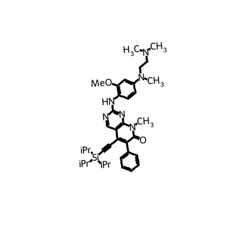 COc1cc(N(C)CCN(C)C)ccc1Nc1ncc2c(C#C[Si](C(C)C)(C(C)C)C(C)C)c(-c3ccccc3)c(=O)n(C)c2n1